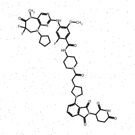 COc1cc(C(=O)NC2CCN(C(=O)CC3CCN(c4cccc5c4C(=O)N(C4CCC(=O)NC4=O)C5=O)C3)CC2)c(F)cc1Nc1ncc2c(n1)N(C1CCCC1)CC(F)(F)C(=O)N2C